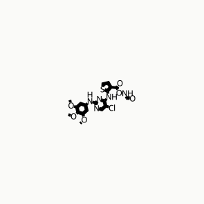 COc1cc(Nc2ncc(Cl)c(Nc3sccc3C(=O)ONC=O)n2)cc(OC)c1OC